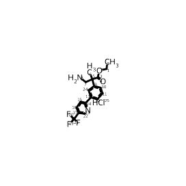 CCOC(=O)C(C)(CN)c1cccc(-c2ccc(C(F)(F)F)cn2)c1.Cl